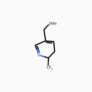 CSCC1=CCC(C(F)(F)F)N=C1